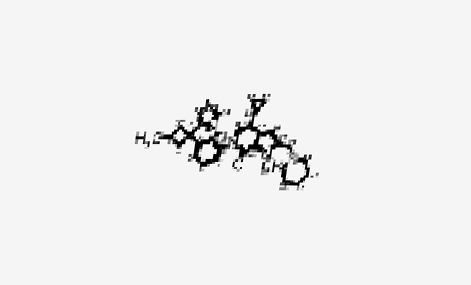 CC1CC(c2cccc(-n3cc(C4CC4)c4cc(CN5CCCCC5)n(C)c4c3=O)c2)(c2nncn2C)C1